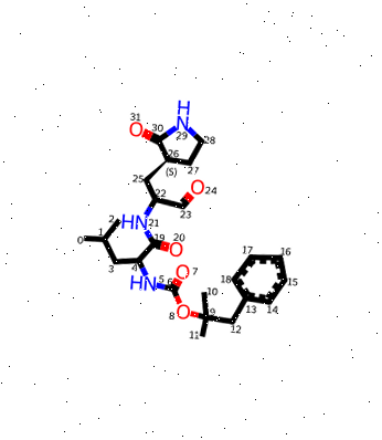 CC(C)CC(NC(=O)OC(C)(C)Cc1ccccc1)C(=O)NC(C=O)C[C@@H]1CCNC1=O